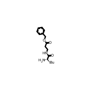 CC[C@H](C)[C@H](N)C(=O)NCCC(=O)OCc1ccccc1